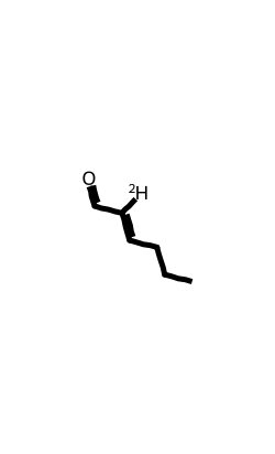 [2H]/C(C=O)=C\CCC